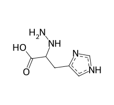 NNC(Cc1c[nH]cn1)C(=O)O